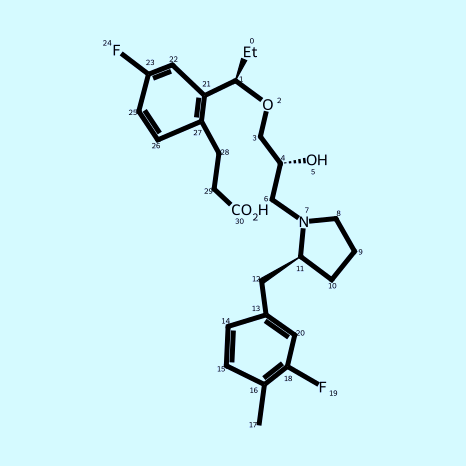 CC[C@@H](OC[C@H](O)CN1CCC[C@H]1Cc1ccc(C)c(F)c1)c1cc(F)ccc1CCC(=O)O